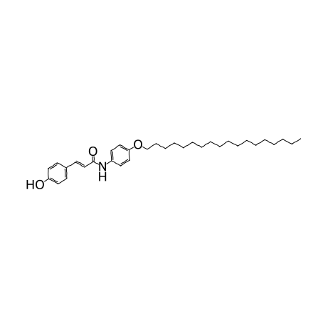 CCCCCCCCCCCCCCCCCCOc1ccc(NC(=O)C=Cc2ccc(O)cc2)cc1